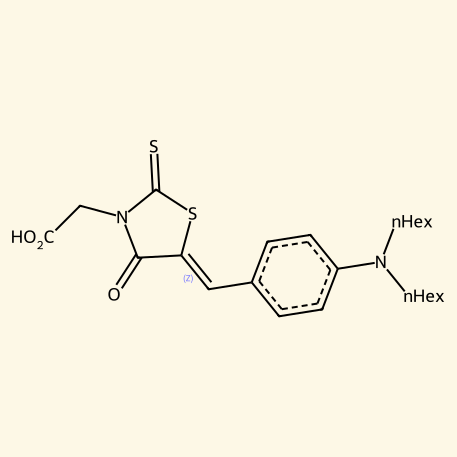 CCCCCCN(CCCCCC)c1ccc(/C=C2\SC(=S)N(CC(=O)O)C2=O)cc1